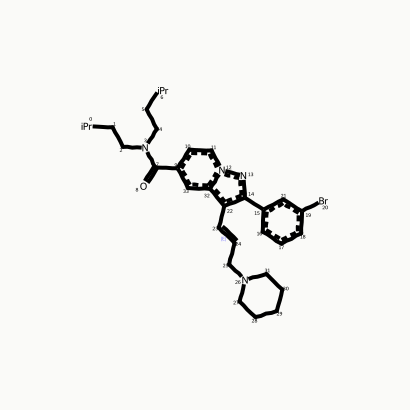 CC(C)CCN(CCC(C)C)C(=O)c1ccn2nc(-c3cccc(Br)c3)c(/C=C/CN3CCCCC3)c2c1